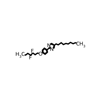 CCCCCCCCCCc1cnc(-c2ccc(OCCC(F)C(F)CCC)cc2)nc1